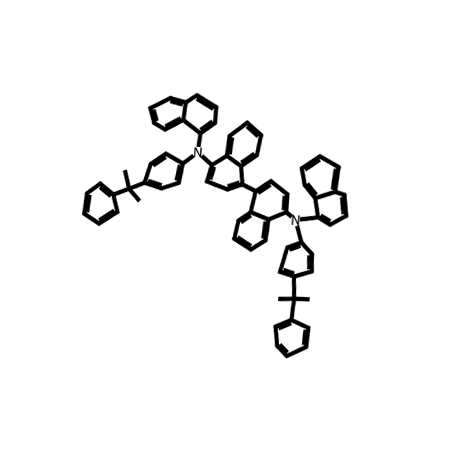 CC(C)(c1ccccc1)c1ccc(N(c2cccc3ccccc23)c2ccc(-c3ccc(N(c4ccc(C(C)(C)c5ccccc5)cc4)c4cccc5ccccc45)c4ccccc34)c3ccccc23)cc1